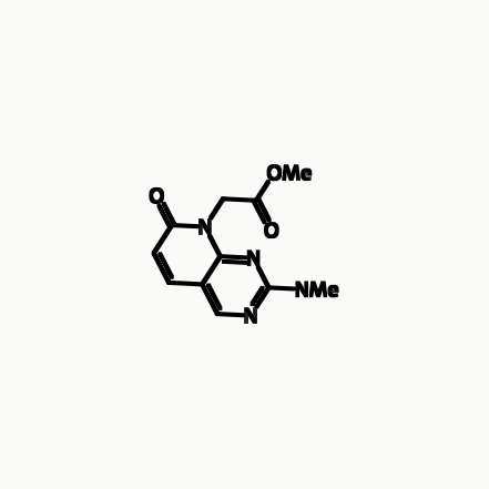 CNc1ncc2ccc(=O)n(CC(=O)OC)c2n1